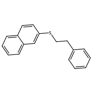 c1ccc(CCSc2ccc3ccccc3c2)cc1